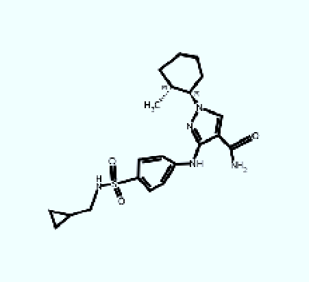 C[C@@H]1CCCC[C@H]1n1cc(C(N)=O)c(Nc2ccc(S(=O)(=O)NCC3CC3)cc2)n1